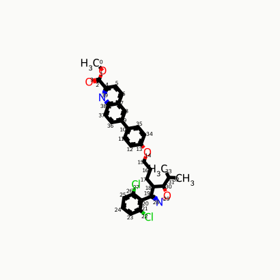 COC(=O)c1ccc2cc(-c3ccc(OCCCC4C(c5c(Cl)cccc5Cl)=NOC4C(C)C)cc3)ccc2n1